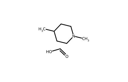 CC1CCN(C)CC1.O=CO